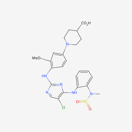 COc1cc(N2CCC(C(=O)O)CC2)ccc1Nc1ncc(Cl)c(Nc2ccccc2N(C)[SH](=O)=O)n1